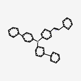 C(=C\c1ccc(N(c2ccc(-c3ccccc3)cc2)c2cccc(-c3ccccc3)c2)cc1)/c1ccccc1